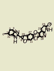 Cc1ccc2nc(C3C4Oc5ccc(Oc6c(Cl)cnc7c6CCC(=O)N7)cc5C43)[nH]c2c1